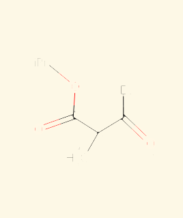 CCC(=O)C(C)C(=O)OC(C)C